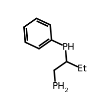 CCC(CP)Pc1ccccc1